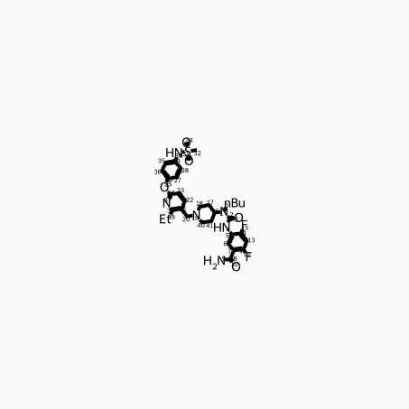 CCCCN(C(=O)Nc1cc(C(N)=O)c(F)cc1F)C1CCN(Cc2ccc(Oc3ccc(NS(C)(=O)=O)cc3)nc2CC)CC1